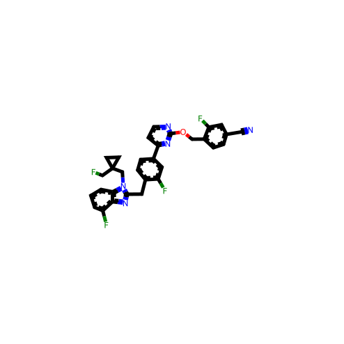 N#Cc1ccc(COc2nccc(-c3ccc(Cc4nc5c(F)cccc5n4CC4(CF)CC4)c(F)c3)n2)c(F)c1